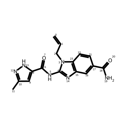 C=CCn1c(NC(=O)c2cc(C)n[nH]2)nc2cc(C(N)=O)ccc21